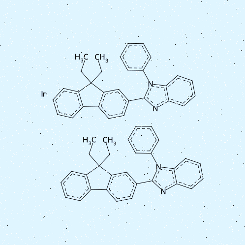 CCC1(CC)c2ccccc2-c2ccc(-c3nc4ccccc4n3-c3ccccc3)cc21.CCC1(CC)c2ccccc2-c2ccc(-c3nc4ccccc4n3-c3ccccc3)cc21.[Ir]